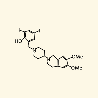 COc1cc2c(cc1OC)CN(C1CCN(Cc3cc(I)cc(I)c3O)CC1)CC2